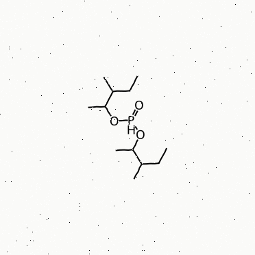 CCC(C)C(C)O[PH](=O)OC(C)C(C)CC